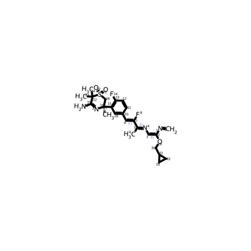 C=N\C(=C/N=C(C)/C(F)=C/c1ccc(F)c([C@]2(C)CS(=O)(=O)C(C)(C)C(N)=N2)c1)OCC1CC1